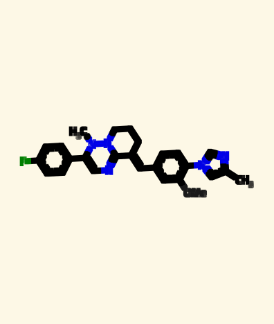 COc1cc(/C=C2\CCCN3C2=NC=C(c2ccc(F)cc2)N3C)ccc1-n1cnc(C)c1